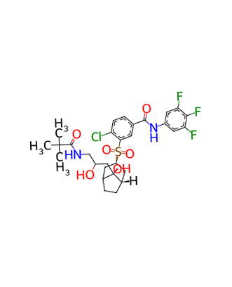 CC(C)(C)C(=O)NCC(O)C[C@@]1(O)C2CC[C@H]1C[C@H](S(=O)(=O)c1cc(C(=O)Nc3cc(F)c(F)c(F)c3)ccc1Cl)C2